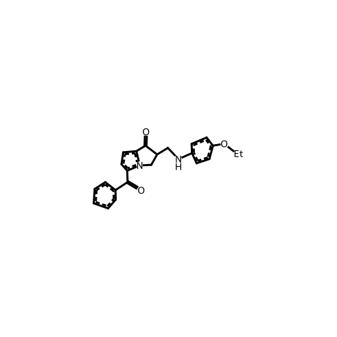 CCOc1ccc(NCC2Cn3c(C(=O)c4ccccc4)ccc3C2=O)cc1